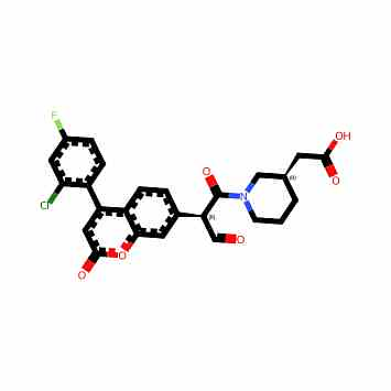 O=C[C@H](C(=O)N1CCC[C@H](CC(=O)O)C1)c1ccc2c(-c3ccc(F)cc3Cl)cc(=O)oc2c1